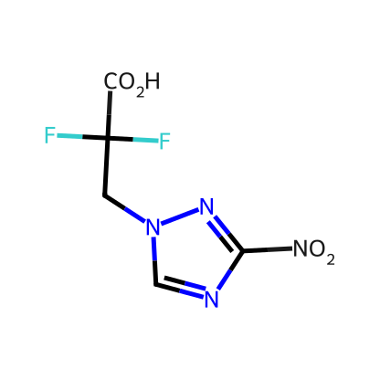 O=C(O)C(F)(F)Cn1cnc([N+](=O)[O-])n1